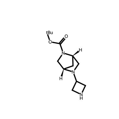 CC(C)(C)OC(=O)N1C[C@@H]2C[C@H]1CN2C1CNC1